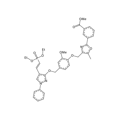 CCOP(=O)(/C=C/c1cn(-c2ccccc2)nc1OCc1ccc(OCc2nc(-c3cccc(C(=O)OC)c3)oc2C)c(OC)c1)OCC